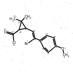 COc1ccc(C(Br)=CC2C(C(=O)Cl)C2(C)C)cc1